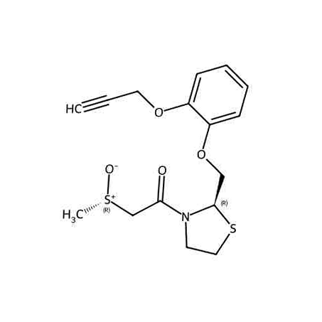 C#CCOc1ccccc1OC[C@H]1SCCN1C(=O)C[S@+](C)[O-]